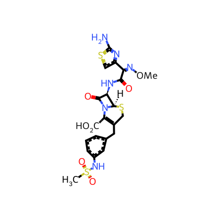 CO/N=C(\C(=O)N[C@@H]1C(=O)N2C(C(=O)O)=C(Cc3cccc(NS(C)(=O)=O)c3)CS[C@H]12)c1csc(N)n1